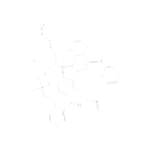 CCCCCC(CC)n1c2ccc(/C(=N\OC(C)=O)c3ccccc3OCC(F)(F)C(F)F)cc2c2cc(C(=O)c3ccccc3)c3ccccc3c21